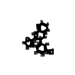 Cc1ncccc1CC(NC1=NCCO1)c1cccc(Cl)c1